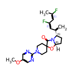 C=C(/C=C(F)\C=C(/C)F)[C@@H]1CC[C@H]2OC3(CCN(c4ncc(OC)cn4)CC3)C(=O)N21